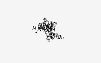 CC(C)(C)OC(=O)N[C@H](C(=O)N1CC2C([C@H]1C(=O)NC(CC1CC1)C(=O)C(N)=O)C2(Cl)Cl)C1CCCC1